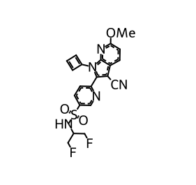 COc1ccc2c(C#N)c(-c3ccc(S(=O)(=O)NC(CF)CF)cn3)n(C3=CC=C3)c2n1